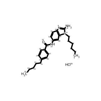 CCCCCCn1c(N)nc2ccc(NC(=O)c3ccc(CCCCC)cc3)cc21.Cl